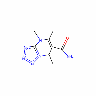 CC1=C(C(N)=O)C(C)n2nnnc2N1C